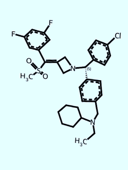 CCN(Cc1ccc([C@@H](c2ccc(Cl)cc2)N2CC(=C(c3cc(F)cc(F)c3)S(C)(=O)=O)C2)cc1)C1CCCCC1